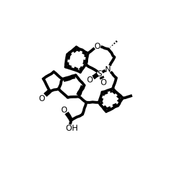 Cc1ccc(C(CC(=O)O)C2=CC=C3CCC(=O)C3C2)cc1CN1C[C@@H](C)Oc2ccccc2S1(=O)=O